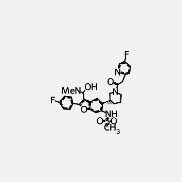 CNC(O)c1c(-c2ccc(F)cc2)oc2cc(NS(C)(=O)=O)c([C@@H]3CCCN(C(=O)Cc4ccc(F)cn4)C3)cc12